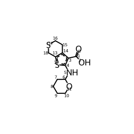 O=C(O)c1c(NC2CCCCO2)sc2c1CCSC2